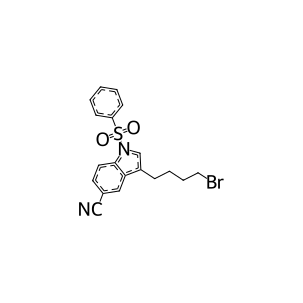 N#Cc1ccc2c(c1)c(CCCCBr)cn2S(=O)(=O)c1ccccc1